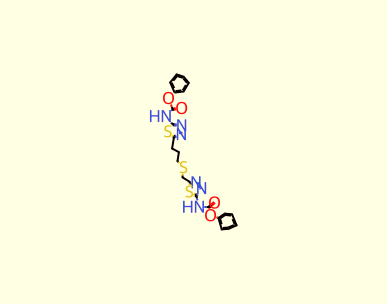 O=C(Nc1nnc(CCCSCc2nnc(NC(=O)Oc3ccccc3)s2)s1)Oc1ccccc1